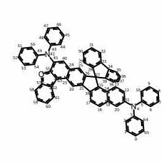 c1ccc(N(c2ccccc2)c2ccc3c4c(ccc3c2)-c2cc3c(cc2C42c4ccccc4-c4ccccc42)cc(N(c2ccccc2)c2ccccc2)c2oc4ccccc4c23)cc1